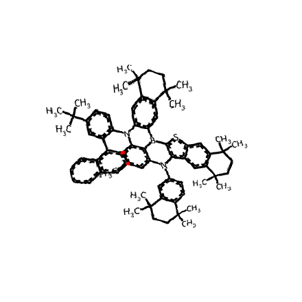 Cc1cc2c3c(c1)N(c1ccc4c(c1)C(C)(C)CCC4(C)C)c1c(sc4cc5c(cc14)C(C)(C)CCC5(C)C)B3c1cc3c(cc1N2c1ccc(C(C)(C)C)cc1-c1cccc2ccccc12)C(C)(C)CCC3(C)C